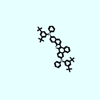 CC(C)(C)c1cc(N(c2ccccc2)c2ccc3c(ccc4c3sc3c5ccc(N(c6ccccc6)c6cc(C(C)(C)C)cc(C(C)(C)C)c6)cc5c5ccccc5c43)c2)cc(C(C)(C)C)c1